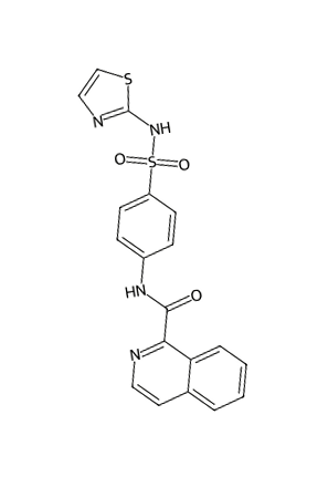 O=C(Nc1ccc(S(=O)(=O)Nc2nccs2)cc1)c1nccc2ccccc12